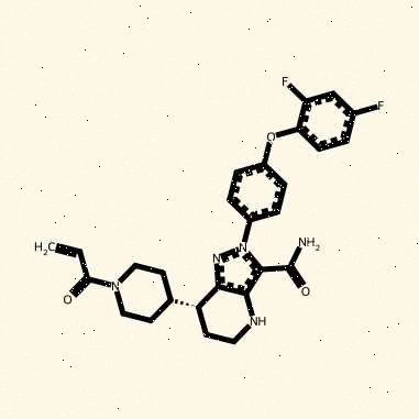 C=CC(=O)N1CCC([C@H]2CCNc3c2nn(-c2ccc(Oc4ccc(F)cc4F)cc2)c3C(N)=O)CC1